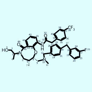 CC(CO)N1C[C@@H](C)[C@@H](CN(C)Cc2ccc(Cc3cccc(F)c3)cc2)Oc2c(NC(=O)Cc3ccc(C(F)(F)F)cc3)cccc2C1=O